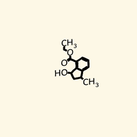 CCOC(=O)c1cccc2c1C(O)CC2C